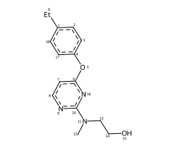 CCc1ccc(Oc2ccnc(N(C)CCO)n2)cc1